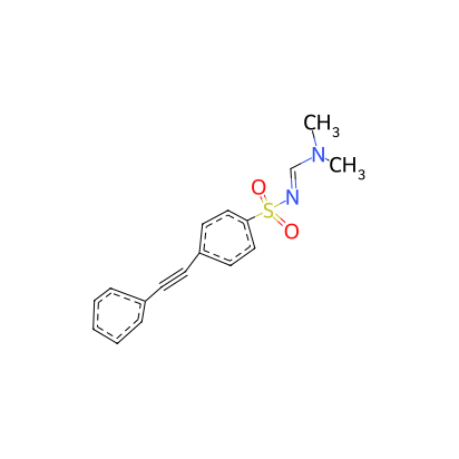 CN(C)C=NS(=O)(=O)c1ccc(C#Cc2ccccc2)cc1